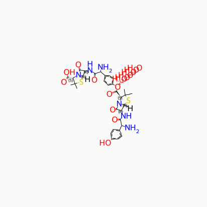 CC1(C)S[C@@H]2[C@H](NC(=O)C(N)c3ccc(OC(=O)[C@@H]4N5C(=O)[C@@H](NC(=O)C(N)c6ccc(O)cc6)[C@H]5SC4(C)C)cc3)C(=O)N2[C@H]1C(=O)O.O.O.O.O.O.O